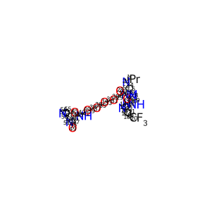 CC(C)N(C)[C@@H]1CCC(N2CC[C@H](Nc3ncnc4ccc(C(F)(F)F)cc34)C2=O)[C@H](NC(=O)CCOCCOCCOCCOCCNC(=O)[C@H]2CC(=O)N(C)[C@@H]2c2cccnc2)C1